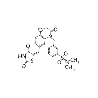 CN(C)S(=O)(=O)c1cccc(CN2C(=O)COc3ccc(C=C4SC(=O)NC4=O)cc32)c1